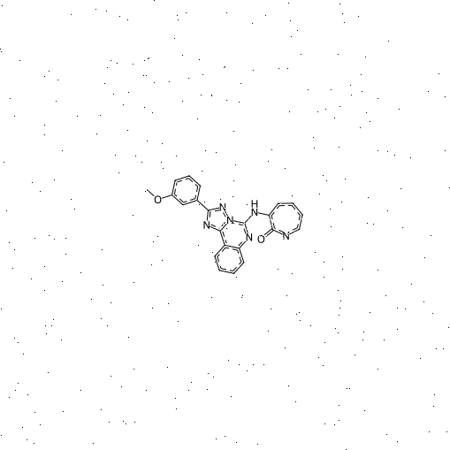 COc1cccc(-c2nc3c4ccccc4nc(Nc4ccccnc4=O)n3n2)c1